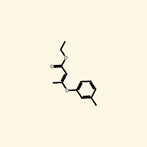 CCOC(=O)C=C(C)Oc1cccc(C)c1